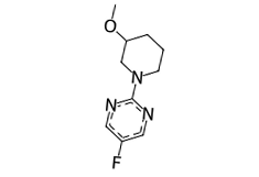 COC1CCCN(c2ncc(F)cn2)C1